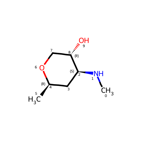 CN[C@H]1C[C@@H](C)OC[C@@H]1O